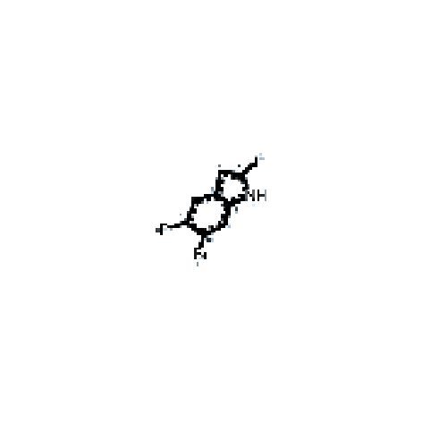 Fc1cc2cc(I)[nH]c2cc1Br